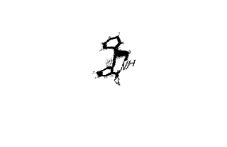 O=c1[nH]cc(C2CCCCC2)c2ccccc12